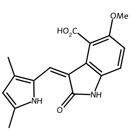 COc1ccc2c(c1C(=O)O)/C(=C/c1[nH]c(C)cc1C)C(=O)N2